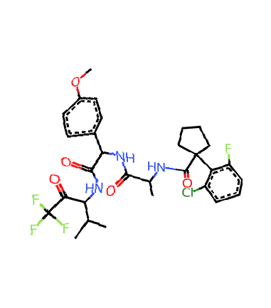 COc1ccc(C(NC(=O)C(C)NC(=O)C2(c3c(F)cccc3Cl)CCCC2)C(=O)NC(C(=O)C(F)(F)F)C(C)C)cc1